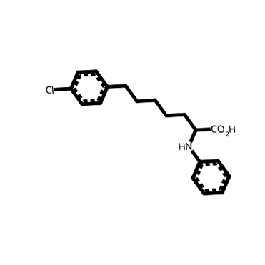 O=C(O)C(CCCCCc1ccc(Cl)cc1)Nc1ccccc1